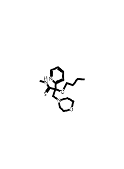 CCCCOC(CN1CCOCC1)(C(=S)NC)c1ccccn1